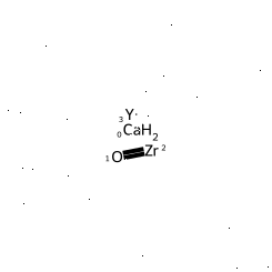 [CaH2].[O]=[Zr].[Y]